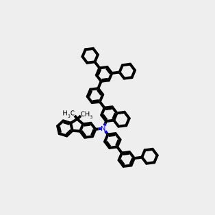 CC1(C)c2ccccc2-c2ccc(N(c3ccc(-c4cccc(C5CCCCC5)c4)cc3)c3cc(-c4cccc(-c5cc(C6CCCCC6)cc(C6CCCCC6)c5)c4)cc4c3CCCC4)cc21